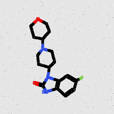 O=c1[nH]c2ccc(F)cc2n1C1CCN(C2CCOCC2)CC1